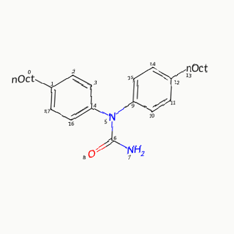 CCCCCCCCc1ccc(N(C(N)=O)c2ccc(CCCCCCCC)cc2)cc1